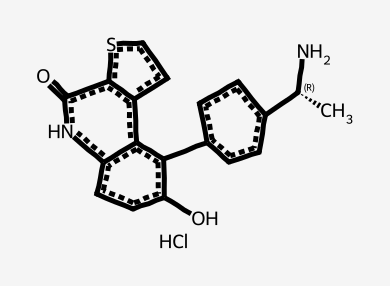 C[C@@H](N)c1ccc(-c2c(O)ccc3[nH]c(=O)c4sccc4c23)cc1.Cl